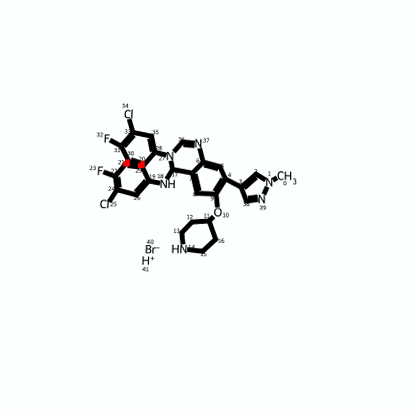 Cn1cc(-c2cc3c(cc2OC2CCNCC2)C(Nc2ccc(F)c(Cl)c2)N(c2ccc(F)c(Cl)c2)C=N3)cn1.[Br-].[H+]